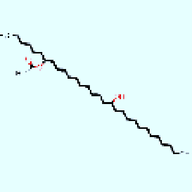 CCCCCCCCCCCCC(O)CCCCCCCC=CCC(CCCCCC)OC(C)=O